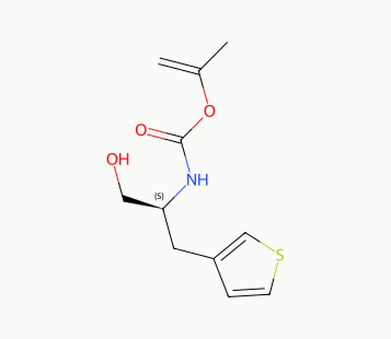 C=C(C)OC(=O)N[C@H](CO)Cc1ccsc1